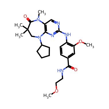 COCCNC(=O)c1ccc(Nc2ncc3c(n2)N(C2CCCC2)CC(C)(C)C(=O)N3C)c(OC)c1